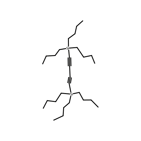 CCCC[Si](C#CC#C[Si](CCCC)(CCCC)CCCC)(CCCC)CCCC